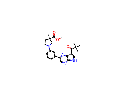 COC(=O)C1(C)CCN(c2cccc(-c3cnc4[nH]cc(C(=O)C(C)(C)C)c4n3)c2)C1